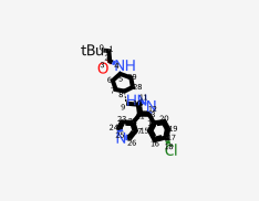 CC(C)(C)CC(=O)N[C@H]1CC[C@@H](Cc2[nH]nc(-c3ccc(Cl)cc3)c2-c2ccncc2)CC1